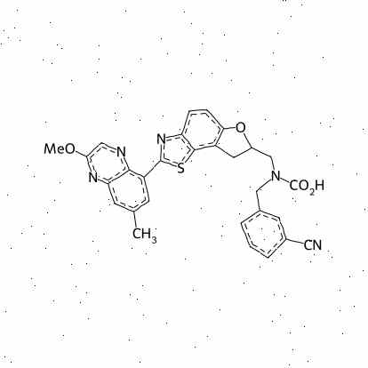 COc1cnc2c(-c3nc4ccc5c(c4s3)CC(CN(Cc3cccc(C#N)c3)C(=O)O)O5)cc(C)cc2n1